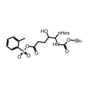 CCCCCCC(NC(=O)OC(C)(C)C)C(O)CCC(=O)OS(=O)(=O)c1ccccc1C